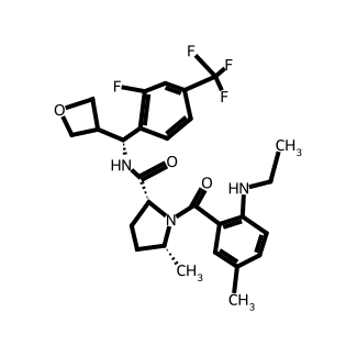 CCNc1ccc(C)cc1C(=O)N1[C@H](C)CC[C@@H]1C(=O)N[C@@H](c1ccc(C(F)(F)F)cc1F)C1COC1